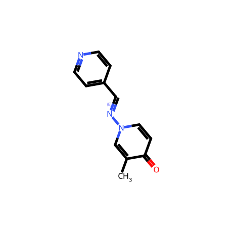 Cc1cn(/N=C/c2ccncc2)ccc1=O